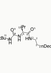 CCCCCCCCCCCCNC(=O)[C@@H](NC(=O)NC(C)(C)C)C(C)C